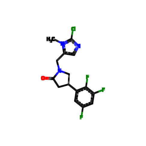 Cn1c(CN2CC(c3cc(F)cc(F)c3F)CC2=O)cnc1Cl